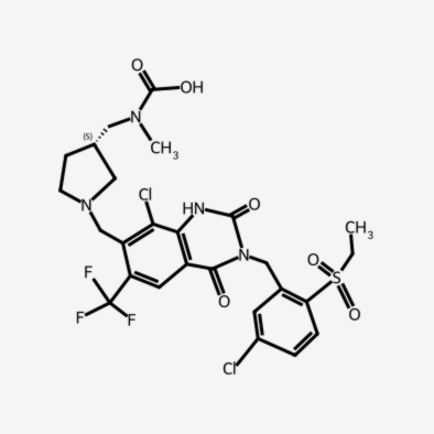 CCS(=O)(=O)c1ccc(Cl)cc1Cn1c(=O)[nH]c2c(Cl)c(CN3CC[C@H](CN(C)C(=O)O)C3)c(C(F)(F)F)cc2c1=O